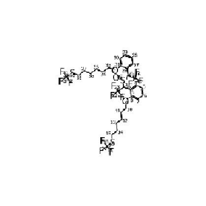 [O-][S+](C(c1ccccc1OCCCCCCSC(F)(F)F)C(F)(F)F)C(c1ccccc1OCCCCCCSC(F)(F)F)C(F)(F)F